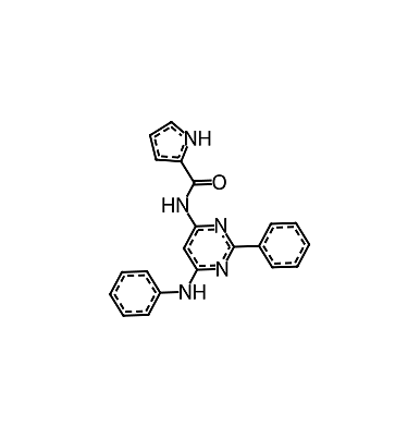 O=C(Nc1cc(Nc2ccccc2)nc(-c2ccccc2)n1)c1ccc[nH]1